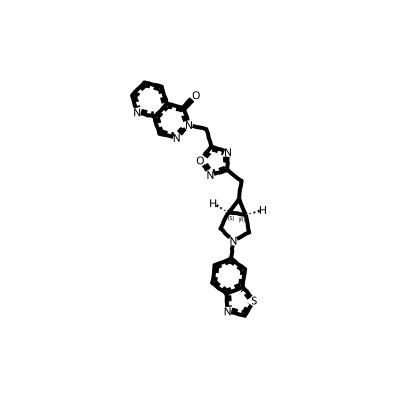 O=c1c2cccnc2cnn1Cc1nc(CC2[C@H]3CN(c4ccc5ncsc5c4)C[C@@H]23)no1